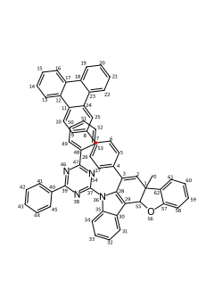 CC12C=C(c3ccc(-c4ccc5c6ccccc6c6ccccc6c5c4)cc3)c3c(c4ccccc4n3-c3nc(-c4ccccc4)nc(-c4ccccc4)n3)C1Oc1ccccc12